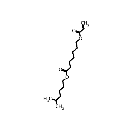 C=CC(=O)OCCCCCCC(=O)OCCCCC(C)C